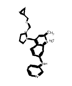 Cc1cc(N2CCC[C@H]2COCC2CC2)c2ccc(Nc3cccnc3)cc2n1.Cl